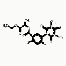 CCOC(=O)C(C)OC(=O)c1cc(-n2c(=O)n(C)c(=S)n(C)c2=O)c(F)cc1Cl